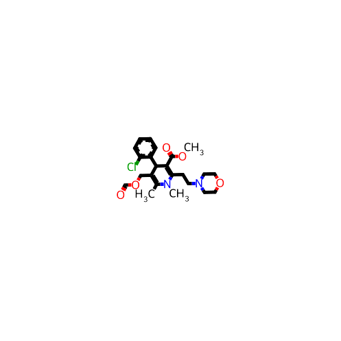 COC(=O)C1=C(CCN2CCOCC2)N(C)C(C)=C(COC=O)C1c1ccccc1Cl